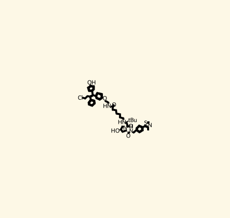 Cc1ncsc1-c1ccc(CNC(=O)[C@@H]2C[C@@H](O)CN2C(=O)[C@@H](NCCCCCCC(=O)NCCOc2ccc(C(=C(CCCl)c3ccccc3)c3ccc(O)cc3)cc2)C(C)(C)C)cc1